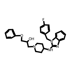 OC(COc1ccccc1)CN1CCC(Nc2nc3ccccc3n2Cc2ccc(F)cc2)CC1